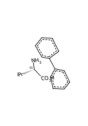 CC(C)[C@H](N)C(=O)O.c1ccc(-c2ccccc2)cc1